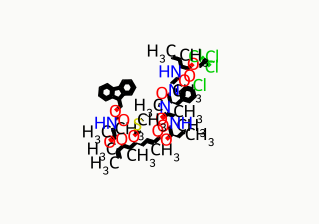 C/C=C(\C)[C@@H](OC(=O)C(C)(C)NC(=O)OCC1c2ccccc2-c2ccccc21)[C@@H](C)[C@H](C/C=C(\C)C(=O)O[C@H](CC(C)C)C(=O)N[C@@H](C)C(=O)N(C)[C@H](Cc1ccc(Cl)cc1)C(=O)N(C)CC(=O)N[C@H](C(=O)OCC(Cl)(Cl)Cl)[C@H](C)CC)OCSC